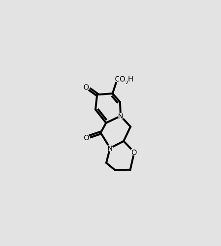 O=C(O)c1cn2c(cc1=O)C(=O)N1CCCOC1C2